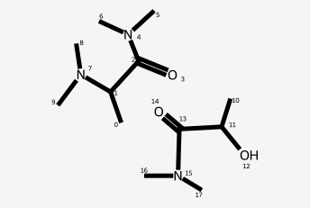 CC(C(=O)N(C)C)N(C)C.CC(O)C(=O)N(C)C